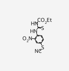 CCOC(=O)NC(=S)Nc1ccc(SC#N)cc1[N+](=O)[O-]